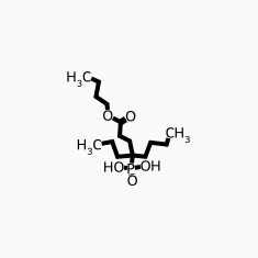 CCCCOC(=O)CCC(CCC)(CCCC)P(=O)(O)O